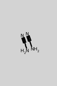 N#CN.N#CN